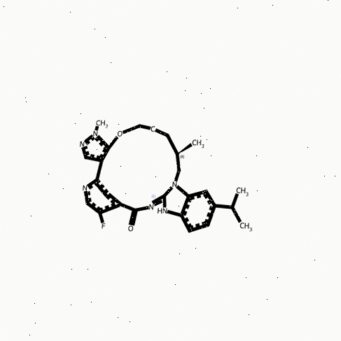 CC(C)c1ccc2c(c1)N1C[C@H](C)CCCOc3c(cnn3C)-c3cc(c(F)cn3)C(=O)/N=C/1N2